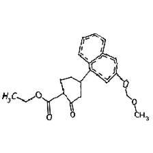 CCOC(=O)C1CCC(c2cc(OCOC)cc3ccccc23)CC1=O